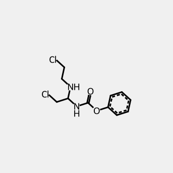 O=C(NC(CCl)NCCCl)Oc1ccccc1